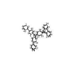 c1ccc(-c2ccc(N(c3ccc(-c4ccncc4)cc3)c3ccc(-n4c5ccccc5c5ccccc54)cc3)cc2)cc1